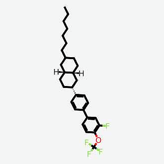 CCCCCCCC1CC[C@@H]2C[C@H](c3ccc(-c4ccc(OC(F)(F)F)c(F)c4)cc3)CC[C@@H]2C1